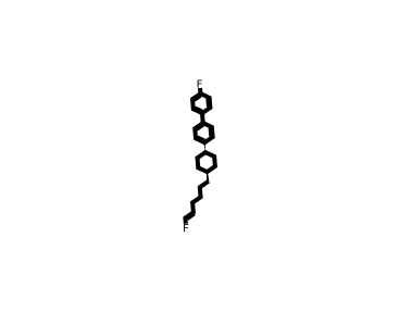 FC=CCCCC[C@H]1CC[C@H](c2ccc(-c3ccc(F)cc3)cc2)CC1